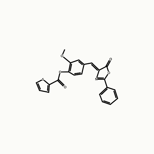 COc1cc(/C=C2\N=C(c3ccccc3)OC2=O)ccc1OC(=O)c1cccs1